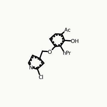 CCCc1c(OCc2ccnc(Cl)c2)ccc(C(C)=O)c1O